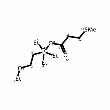 CCOCCP(CC)(CC)(CC)OC(=O)CCSC